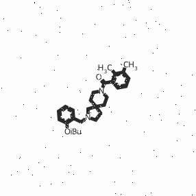 Cc1cccc(C(=O)N2CCC3(CCN(Cc4ccccc4OCC(C)C)C3)CC2)c1C